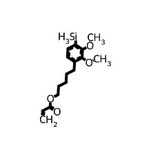 C=CC(=O)OCCCCCc1ccc([SiH3])c(OC)c1OC